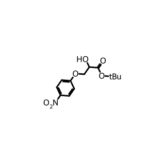 CC(C)(C)OC(=O)C(O)COc1ccc([N+](=O)[O-])cc1